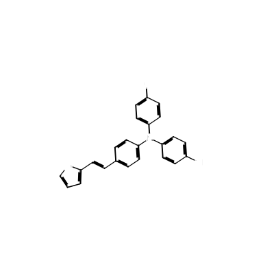 Clc1ccc(N(c2ccc(Cl)cc2)c2ccc(C=Cc3ccco3)cc2)cc1